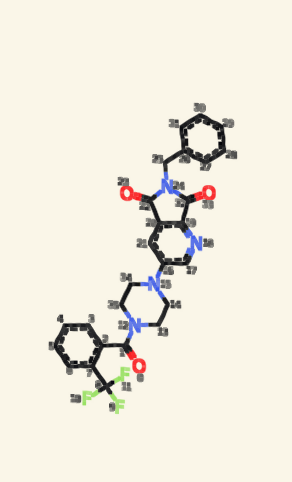 O=C(c1ccccc1C(F)(F)F)N1CCN(c2cnc3c(c2)C(=O)N(Cc2ccccc2)C3=O)CC1